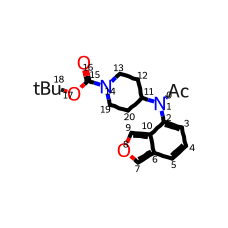 CC(=O)N(c1cccc2cocc12)C1CCN(C(=O)OC(C)(C)C)CC1